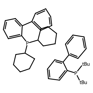 CC(C)(C)P(c1ccccc1-c1ccccc1)C(C)(C)C.c1ccc(-c2ccccc2P(C2CCCCC2)C2CCCCC2)cc1